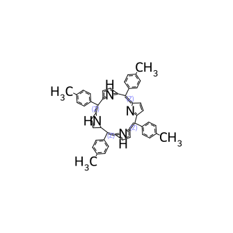 Cc1ccc(/C2=C3\C=CC(=N3)/C(c3ccc(C)cc3)=c3/cc/c([nH]3)=C(\c3ccc(C)cc3)C3C=C/C(=C(\c4ccc(C)cc4)c4ccc2[nH]4)N3)cc1